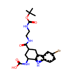 CC(C)(C)OC(=O)NCCNC(=O)C1Cc2c([nH]c3ccc(Br)cc23)C(NC(=O)O)C1